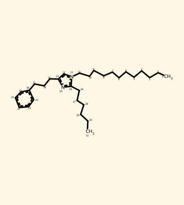 CCCCCCCCCCCCn1cc(CCCc2ccccc2)nc1CCCCCC